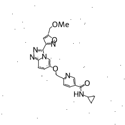 COCc1cc(-c2nnc3ccc(OCc4ccc(C(=O)NC5CC5)cn4)cn23)no1